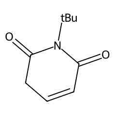 CC(C)(C)N1C(=O)C=CCC1=O